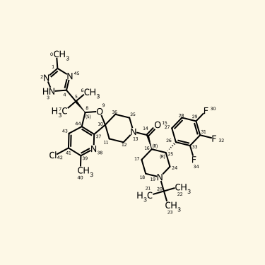 Cc1n[nH]c(C(C)(C)[C@H]2OC3(CCN(C(=O)[C@@H]4CCN(C(C)(C)C)C[C@H]4c4ccc(F)c(F)c4F)CC3)c3nc(C)c(Cl)cc32)n1